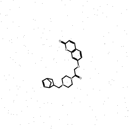 O=C(COc1ccc2ccc(=O)oc2c1)N1CCN(CC2CC3C=CC2C3)CC1